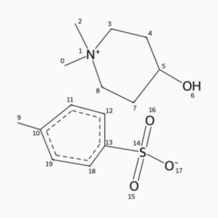 C[N+]1(C)CCC(O)CC1.Cc1ccc(S(=O)(=O)[O-])cc1